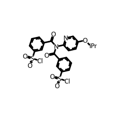 CC(C)Oc1ccc(N(C(=O)c2cccc(S(=O)(=O)Cl)c2)C(=O)c2cccc(S(=O)(=O)Cl)c2)nc1